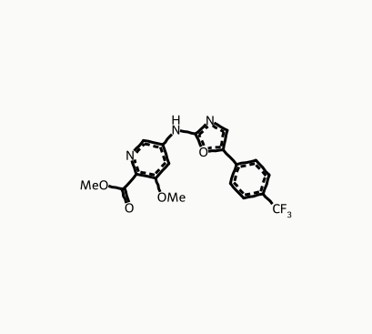 COC(=O)c1ncc(Nc2ncc(-c3ccc(C(F)(F)F)cc3)o2)cc1OC